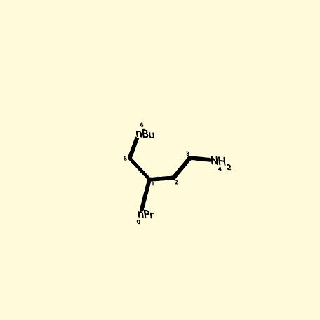 C[CH]CC(CCN)CCCCC